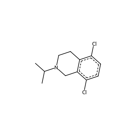 CC(C)N1CCc2c(Cl)ccc(Cl)c2C1